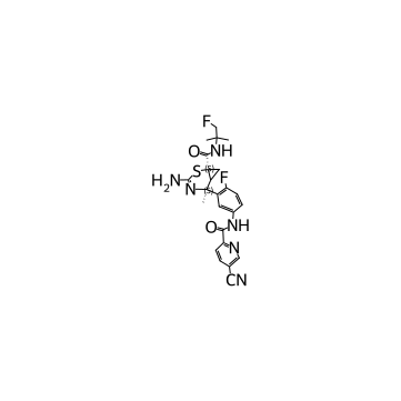 CC(C)(CF)NC(=O)[C@]12CC1[C@@](C)(c1cc(NC(=O)c3ccc(C#N)cn3)ccc1F)N=C(N)S2